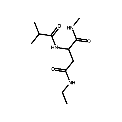 CCNC(=O)CC(NC(=O)C(C)C)C(=O)NC